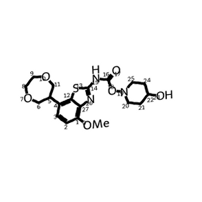 COc1ccc(C2COCCOC2)c2sc(NC(=O)ON3CCC(O)CC3)nc12